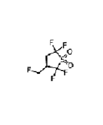 O=S1(=O)C(F)(F)CC(CF)C1(F)F